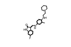 Cc1cc(N/C=C2/C(=O)Nc3cc(F)ccc32)ccc1NCCN1CCCCC1